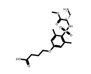 COC(=O)[C@H](CN)NS(=O)(=O)c1c(C)cc(OCCCC(=O)O)cc1C